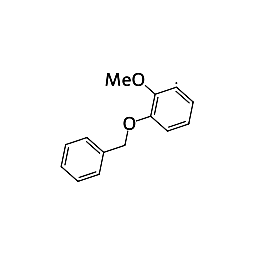 COc1[c]cccc1OCc1ccccc1